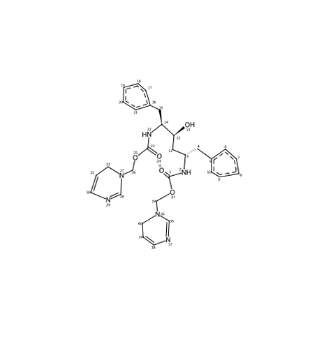 O=C(N[C@@H](Cc1ccccc1)C[C@H](O)[C@H](Cc1ccccc1)NC(=O)OCN1C=NC=CC1)OCN1C=NC=CC1